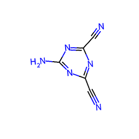 N#Cc1nc(N)nc(C#N)n1